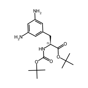 CC(C)(C)OC(=O)N[C@@H](Cc1cc(N)cc(N)c1)C(=O)OC(C)(C)C